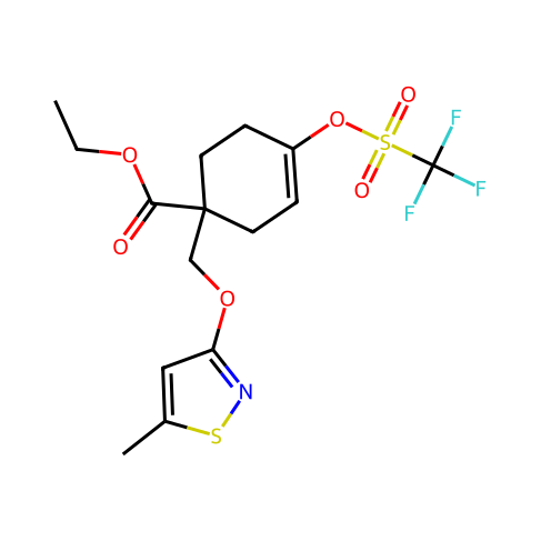 CCOC(=O)C1(COc2cc(C)sn2)CC=C(OS(=O)(=O)C(F)(F)F)CC1